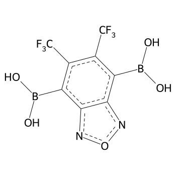 OB(O)c1c(C(F)(F)F)c(C(F)(F)F)c(B(O)O)c2nonc12